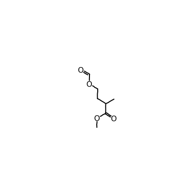 COC(=O)C(C)CCOC=O